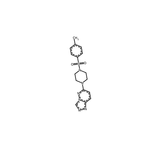 Cc1ccc(S(=O)(=O)N2CCN(c3ccc4nncn4n3)CC2)cc1